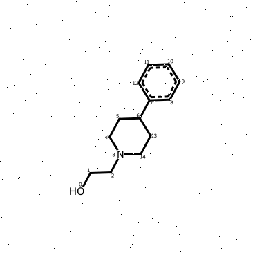 OCCN1CCC(c2c[c]ccc2)CC1